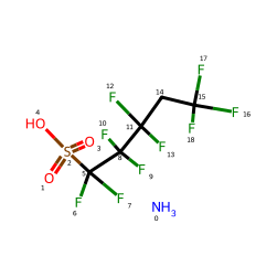 N.O=S(=O)(O)C(F)(F)C(F)(F)C(F)(F)CC(F)(F)F